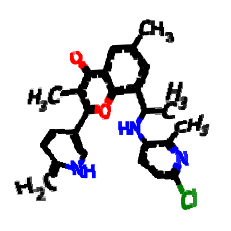 C=C1C=CC(c2oc3c(C(C)Nc4ccc(Cl)nc4C)cc(C)cc3c(=O)c2C)=CN1